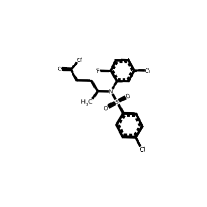 CC(CCC(=O)Cl)N(c1cc(Cl)ccc1F)S(=O)(=O)c1ccc(Cl)cc1